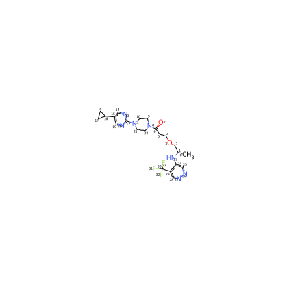 CC(COCCC(=O)N1CCN(c2ncc(C3CC3)cn2)CC1)Nc1cnncc1C(F)(F)F